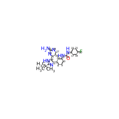 CC(C)(C)c1nc(-c2cccc(NC(=O)Nc3ccc(F)cc3)c2)c(-c2ccnc(N)n2)[nH]1